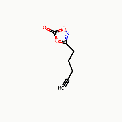 C#CCCCc1noc(=O)o1